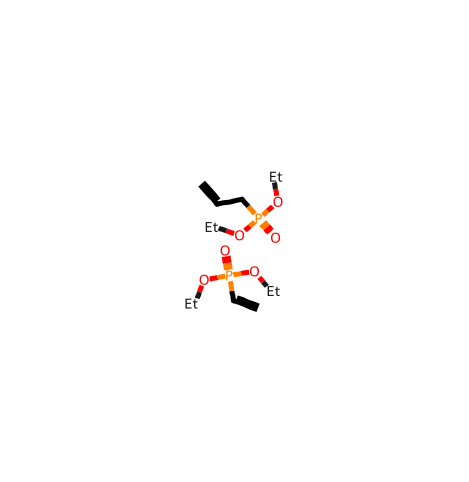 C=CCP(=O)(OCC)OCC.C=CP(=O)(OCC)OCC